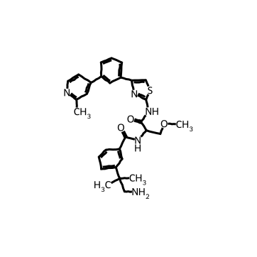 COCC(NC(=O)c1cccc(C(C)(C)CN)c1)C(=O)Nc1nc(-c2cccc(-c3ccnc(C)c3)c2)cs1